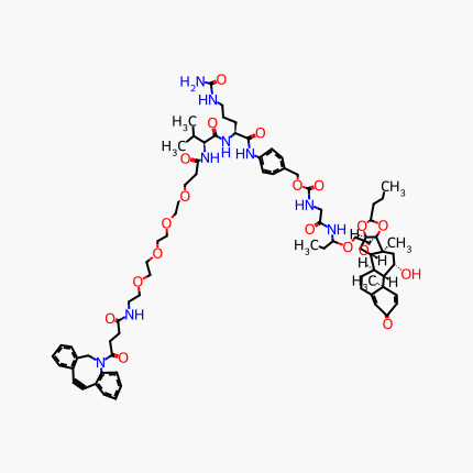 CCCC1O[C@@H]2C[C@H]3[C@@H]4CCC5=CC(=O)C=C[C@]5(C)[C@H]4[C@@H](O)C[C@]3(C)[C@]2(C(=O)COC(CC)NC(=O)CNC(=O)OCc2ccc(NC(=O)[C@H](CCCNC(N)=O)NC(=O)[C@@H](NC(=O)CCOCCOCCOCCOCCNC(=O)CCC(=O)N3Cc4ccccc4C#Cc4ccccc43)C(C)C)cc2)O1